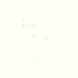 Fc1cc(F)cc(Nc2nc3c(-c4nnc[nH]4)cccc3c3cnccc23)c1